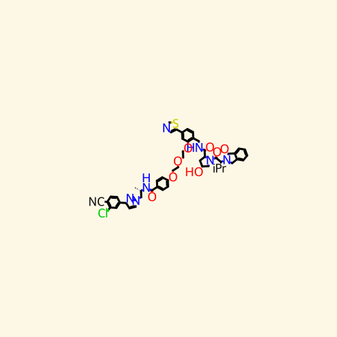 CC(C)[C@@H](C(=O)N1C[C@H](O)CC1C(=O)NCc1ccc(-c2cncs2)cc1OCCOCCOc1ccc(C(=O)N[C@@H](C)Cn2ccc(-c3ccc(C#N)c(Cl)c3)n2)cc1)N1Cc2ccccc2C1=O